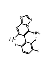 Cc1nc2ncnn2c(N)c1-c1c(F)ccc(F)c1F